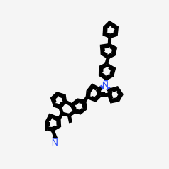 CC1c2ccc(-c3ccc4c(c3)c3ccccc3n4-c3ccc(-c4ccc(-c5ccccc5)cc4)cc3)cc2-c2ccccc2C1c1cccc(C#N)c1